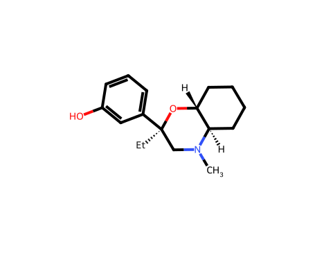 CC[C@@]1(c2cccc(O)c2)CN(C)[C@@H]2CCCC[C@H]2O1